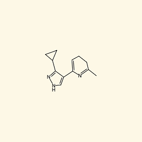 CC1=NC(c2c[nH]nc2C2CC2)=CCC1